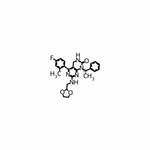 Cc1cc(F)ccc1-c1nc(NCC2OCCO2)nc2c1CNC(=O)N2[C@@H](C)c1ccccc1